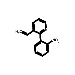 C=Cc1cccnc1-c1ccccc1[N+](=O)[O-]